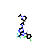 CC(C)N1CCC[C@H](C2CN(c3cnc4c(C(F)(F)F)nn([C@H](C)c5ccc(Cl)cc5Cl)c4n3)C2)C1